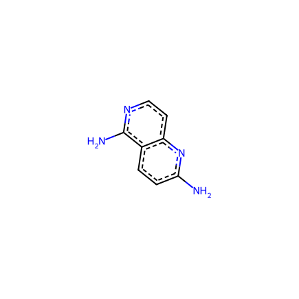 Nc1ccc2c(N)nccc2n1